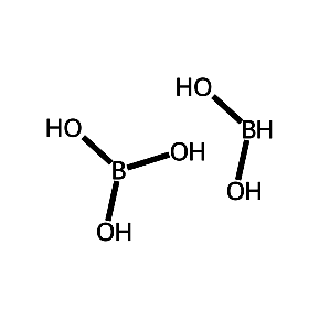 OB(O)O.OBO